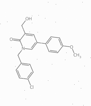 COc1ccc(-c2cc(CO)c(=O)n(Cc3ccc(Cl)cc3)c2)cc1